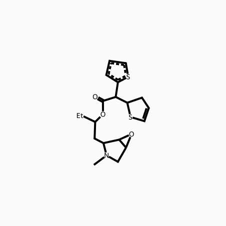 CCC(CC1C2OC2CN1C)OC(=O)C(c1cccs1)C1CC=CS1